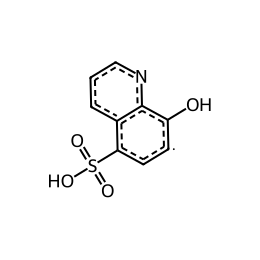 O=S(=O)(O)c1c[c]c(O)c2ncccc12